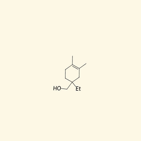 CCC1(CO)CCC(C)=C(C)C1